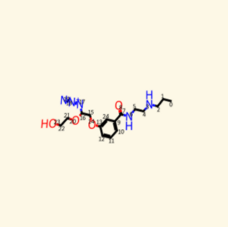 CCCNCCNC(=O)c1cccc(OCC(N=[N+]=[N-])OCCO)c1